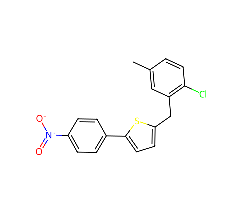 Cc1ccc(Cl)c(Cc2ccc(-c3ccc([N+](=O)[O-])cc3)s2)c1